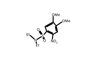 CCN(CC)S(=O)(=O)c1cc(OC)c(OC)cc1[N+](=O)[O-]